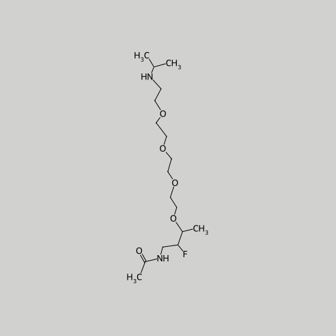 CC(=O)NCC(F)C(C)OCCOCCOCCOCCNC(C)C